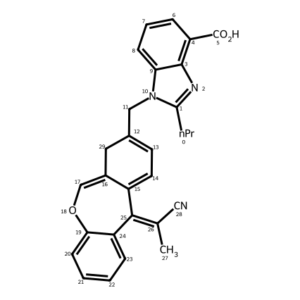 CCCc1nc2c(C(=O)O)cccc2n1CC1=CC=C2C(=COc3ccccc3/C2=C(\C)C#N)C1